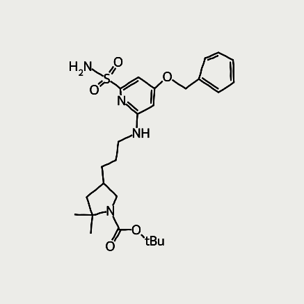 CC(C)(C)OC(=O)N1CC(CCCNc2cc(OCc3ccccc3)cc(S(N)(=O)=O)n2)CC1(C)C